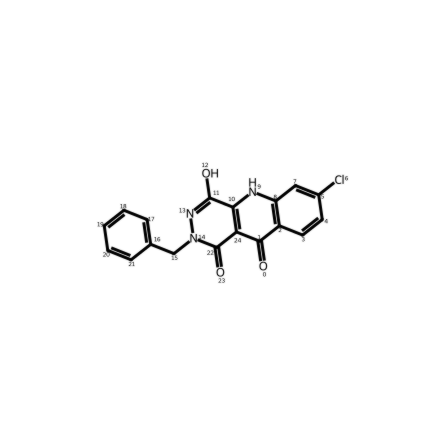 O=c1c2ccc(Cl)cc2[nH]c2c(O)nn(Cc3ccccc3)c(=O)c12